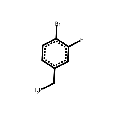 Fc1cc(CP)ccc1Br